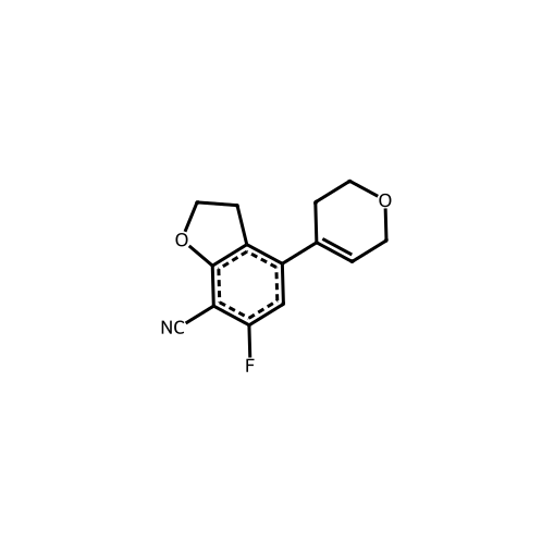 N#Cc1c(F)cc(C2=CCOCC2)c2c1OCC2